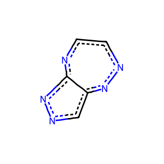 c1cnc2nncc-2nn1